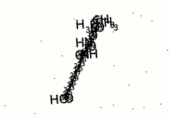 CC(C)(C)C(=O)OCCOCCNC(=O)CCCNC(=O)CCCCCCCCCCCCCCCCC(=O)O